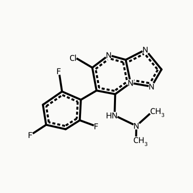 CN(C)Nc1c(-c2c(F)cc(F)cc2F)c(Cl)nc2ncnn12